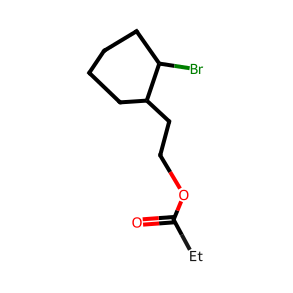 CCC(=O)OCCC1CCCCC1Br